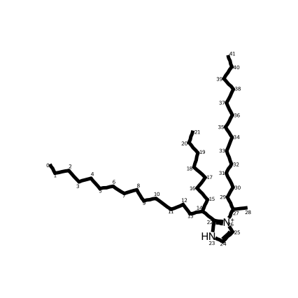 CCCCCCCCCCCCCCC(CCCCCCC)c1[nH]cc[n+]1C(C)CCCCCCCCCCCCC